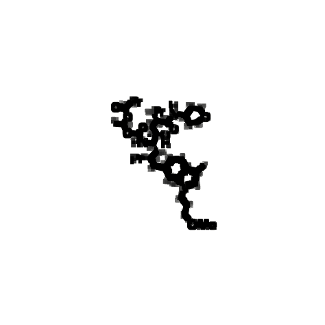 COCCCn1cc(C)c2ccc(C[C@@H](C[C@H](NC(=O)OC(C)OC(=O)C(C)C)[C@@H](O)C[C@H](C(=O)NC3CCOCC3)C(C)C)C(C)C)cc21